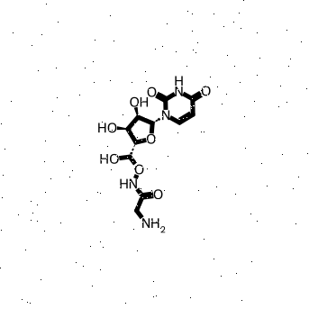 NCC(=O)NOC(O)[C@H]1O[C@@H](n2ccc(=O)[nH]c2=O)[C@H](O)[C@@H]1O